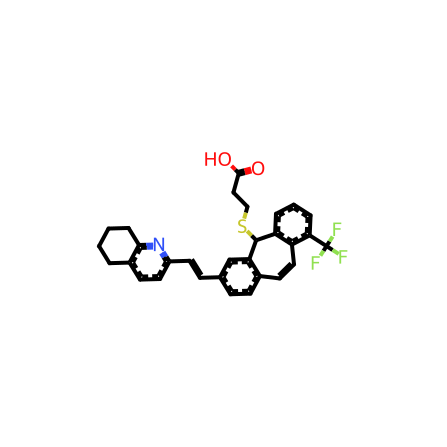 O=C(O)CCSC1c2cc(C=Cc3ccc4c(n3)CCCC4)ccc2C=Cc2c1cccc2C(F)(F)F